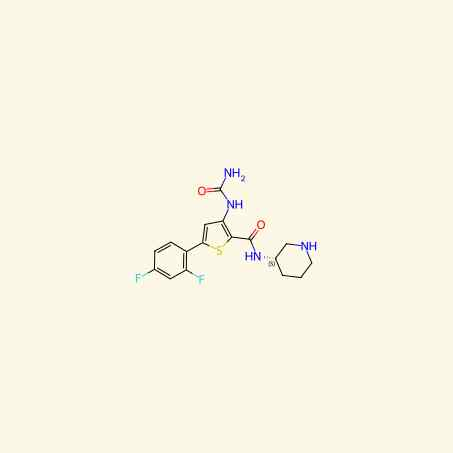 NC(=O)Nc1cc(-c2ccc(F)cc2F)sc1C(=O)N[C@H]1CCCNC1